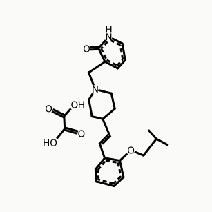 CC(C)COc1ccccc1C=CC1CCN(Cc2ccc[nH]c2=O)CC1.O=C(O)C(=O)O